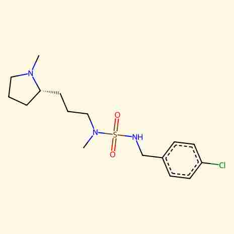 CN1CCC[C@H]1CCCN(C)S(=O)(=O)NCc1ccc(Cl)cc1